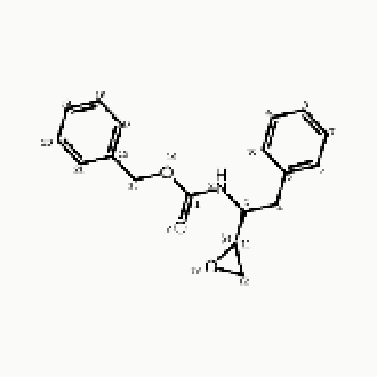 O=C(NC(Cc1ccccc1)[C@H]1CO1)OCc1ccccc1